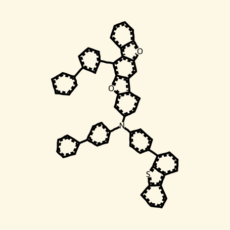 c1ccc(-c2ccc(N(c3ccc(-c4cccc5c4sc4ccccc45)cc3)c3ccc4c(c3)oc3c(-c5cccc(-c6ccccc6)c5)c5c(cc34)oc3ccccc35)cc2)cc1